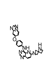 c1nc(Nc2ccc(Oc3ccn4ncnc4c3)cc2)c2nc(N3CC4(CCN4)C3)ccc2n1